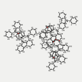 c1ccc(-n2c3ccccc3c3cc(N(c4cccc(-c5nc(-c6cccc(N(c7ccc8c(c7)c7ccccc7n8-c7ccccc7)c7cccc8c9ccccc9n(-c9ccccc9)c78)c6)nc(-c6cccc(N(c7ccc8c(c7)c7ccccc7n8-c7ccccc7)c7cccc8c9ccccc9n(-c9ccccc9)c78)c6)n5)c4)c4cccc5c6ccccc6n(-c6ccccc6)c45)ccc32)cc1